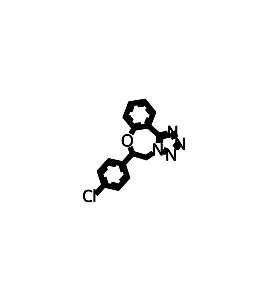 Clc1ccc(C2Cn3nnnc3-c3ccccc3O2)cc1